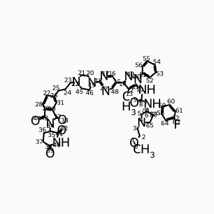 COCCN1C[C@@H](NC(=O)Nc2c(C)c(-c3cnc(N4CCN(CCCc5ccc6c(c5)C(=O)N(C5CCC(=O)NC5=O)C6=O)CC4)nc3)nn2-c2ccccc2)[C@H](c2cccc(F)c2)C1